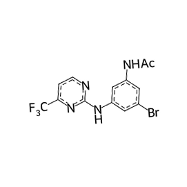 CC(=O)Nc1cc(Br)cc(Nc2nccc(C(F)(F)F)n2)c1